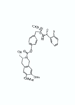 COc1cc2c(cc1OC)CN(C(=O)Oc1ccc(C[C@H](NC(=O)c3ccccc3I)C(=O)O)cc1)C(CC#N)C2